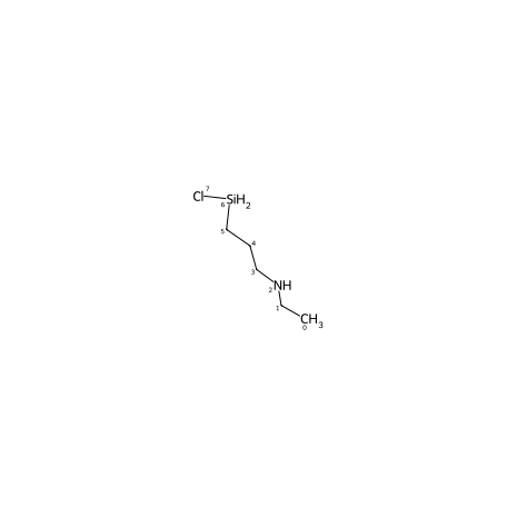 CCNCCC[SiH2]Cl